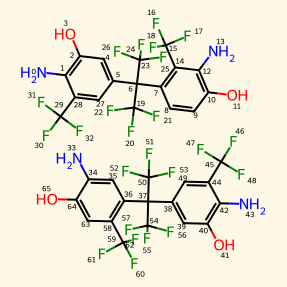 Nc1c(O)cc(C(c2ccc(O)c(N)c2C(F)(F)F)(C(F)(F)F)C(F)(F)F)cc1C(F)(F)F.Nc1cc(C(c2cc(O)c(N)c(C(F)(F)F)c2)(C(F)(F)F)C(F)(F)F)c(C(F)(F)F)cc1O